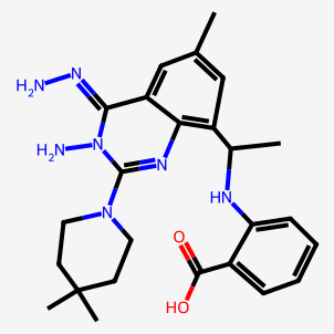 Cc1cc(C(C)Nc2ccccc2C(=O)O)c2nc(N3CCC(C)(C)CC3)n(N)/c(=N\N)c2c1